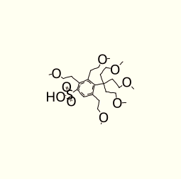 COCCc1cc(S(=O)(=O)O)c(CCOC)c(CCOC)c1C(CCOC)(CCOC)CCOC